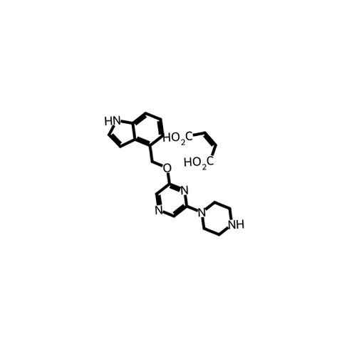 O=C(O)/C=C\C(=O)O.c1cc(COc2cncc(N3CCNCC3)n2)c2cc[nH]c2c1